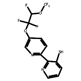 FC(OC(F)(F)F)C(F)(F)Oc1ccc(-c2ncccc2S)nc1